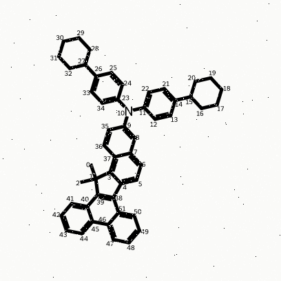 CC1(C)c2c(ccc3cc(N(c4ccc(C5CCCCC5)cc4)c4ccc(C5CCCCC5)cc4)ccc23)-c2c1c1ccccc1c1ccccc21